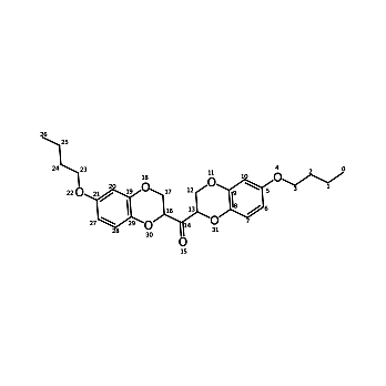 CCCCOc1ccc2c(c1)OCC(C(=O)C1COc3cc(OCCCC)ccc3O1)O2